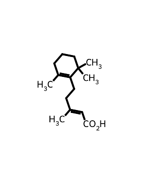 CC(=CC(=O)O)CCC1=C(C)CCCC1(C)C